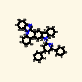 c1ccc(-c2cc(-c3ccccc3)nc(-n3c4ccccc4c4cc5c(cc43)c3ccccc3n3c4ccccc4nc53)c2)cc1